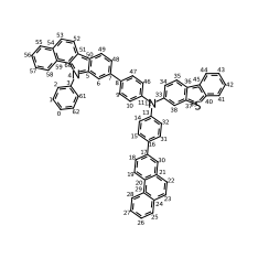 c1ccc(-n2c3cc(-c4ccc(N(c5ccc(-c6ccc7c(ccc8ccccc87)c6)cc5)c5ccc6c(c5)sc5ccccc56)cc4)ccc3c3ccc4ccccc4c32)cc1